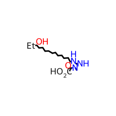 CCC(O)CCCCCCCCCCC(=O)NC(=N)N(C)CC(=O)O